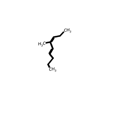 CCC=C(C)C=CCCC